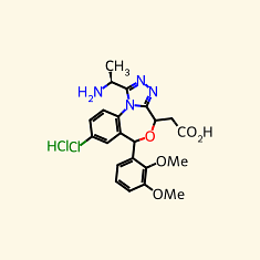 COc1cccc(C2OC(CC(=O)O)c3nnc([C@H](C)N)n3-c3ccc(Cl)cc32)c1OC.Cl